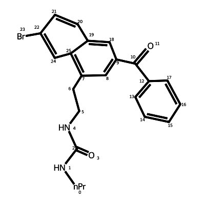 CCCNC(=O)NCCc1cc(C(=O)c2ccccc2)cc2ccc(Br)cc12